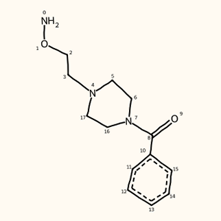 NOCCN1CCN(C(=O)c2ccccc2)CC1